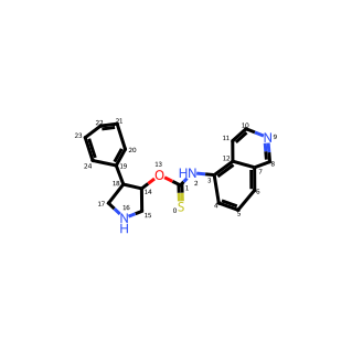 S=C(Nc1cccc2cnccc12)OC1CNCC1c1ccccc1